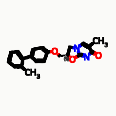 Cc1ccccc1-c1ccc(OC[C@@H]2Cn3cc(C)c(=O)nc3O2)cc1